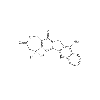 CCCCc1c2c(nc3ccccc13)-c1cc3c(c(=O)n1C2)COC(=O)C[C@@]3(O)CC